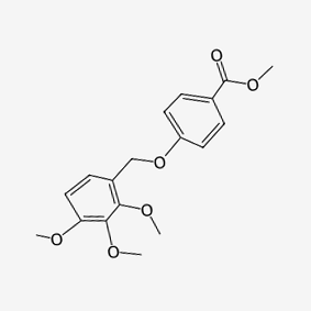 COC(=O)c1ccc(OCc2ccc(OC)c(OC)c2OC)cc1